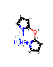 NF.c1c[nH]c(Oc2ccc[nH]2)c1